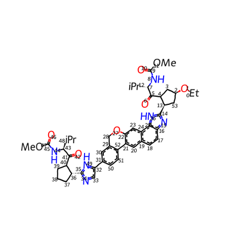 CCO[C@@H]1CC(C(=O)[C@@H](NC(=O)OC)C(C)C)[C@H](c2nc3ccc4cc5c(cc4c3[nH]2)OCc2cc(-c3cnc([C@@H]4CCCC4C(=O)[C@@H](NC(=O)OC)C(C)C)[nH]3)ccc2-5)C1